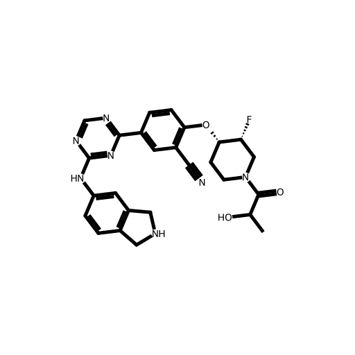 CC(O)C(=O)N1CC[C@H](Oc2ccc(-c3ncnc(Nc4ccc5c(c4)CNC5)n3)cc2C#N)[C@H](F)C1